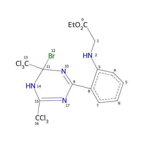 CCOC(=O)CNc1ccccc1C1=NC(Br)(C(Cl)(Cl)Cl)NC(C(Cl)(Cl)Cl)=N1